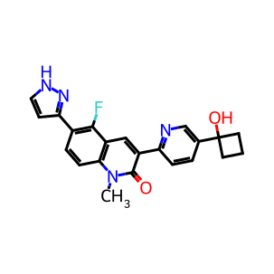 Cn1c(=O)c(-c2ccc(C3(O)CCC3)cn2)cc2c(F)c(-c3cc[nH]n3)ccc21